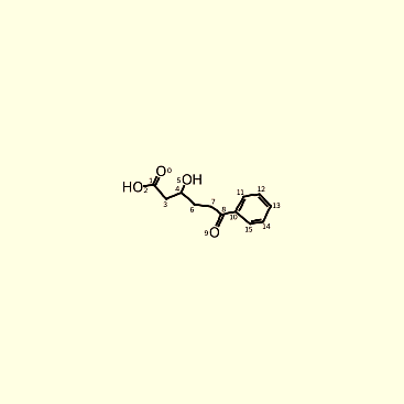 O=C(O)CC(O)CCC(=O)c1ccccc1